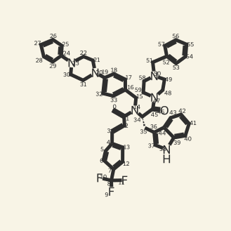 C=C(/C=C/c1ccc(C(F)(F)F)cc1)N(Cc1ccc(N2CCN(c3ccccc3)CC2)cc1)[C@@H](Cc1c[nH]c2ccccc12)C(=O)N1CCN(Cc2ccccc2)CC1